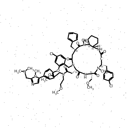 COCCN(CCOC)C(=O)C[C@H]1C(=O)N[C@@H](COC)C(=O)N(C)[C@@H](Cc2ccc(Cl)cc2)CC(=O)N[C@H]2CCCC[C@@H]2N(C)C(=O)[C@H](Cc2ccccc2)CC(=O)N1Cc1ccc(Cl)cc1Oc1ccc(-c2cnc(CN(C)C)n2C)cc1